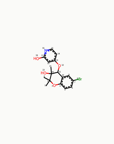 CC1(C)Oc2ccc(Br)cc2C(Oc2ccnc(O)c2)C1(C)O